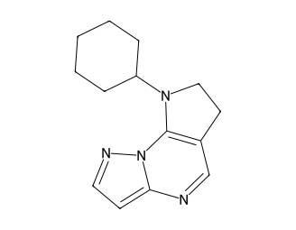 c1cc2ncc3c(n2n1)N(C1CCCCC1)CC3